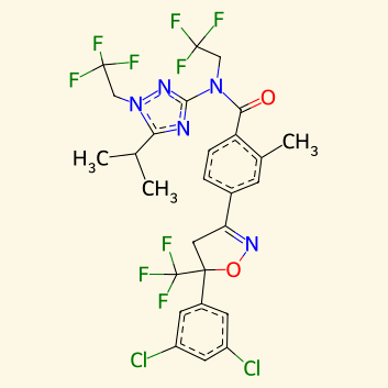 Cc1cc(C2=NOC(c3cc(Cl)cc(Cl)c3)(C(F)(F)F)C2)ccc1C(=O)N(CC(F)(F)F)c1nc(C(C)C)n(CC(F)(F)F)n1